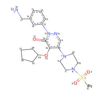 CC(C)S(=O)(=O)N1CCN(c2cnn(-c3cccc(CN)c3)c(=O)c2OC2CCCC2)CC1